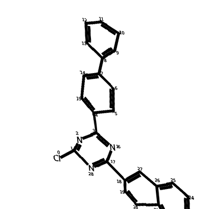 Clc1nc(-c2ccc(-c3ccccc3)cc2)nc(-c2ccc3ccccc3c2)n1